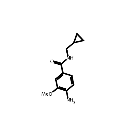 COc1cc(C(=O)NCC2CC2)ccc1N